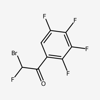 O=C(c1cc(F)c(F)c(F)c1F)C(F)Br